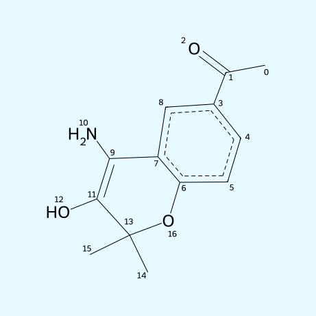 CC(=O)c1ccc2c(c1)C(N)=C(O)C(C)(C)O2